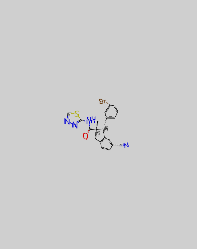 C[C@]1(C(=O)Nc2nncs2)Cc2ccc(C#N)cc2[C@H]1c1cccc(Br)c1